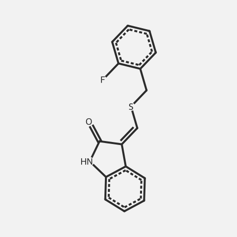 O=C1Nc2ccccc2C1=CSCc1ccccc1F